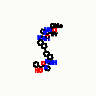 COC(=O)N[C@H](C(=O)N1CCC[C@H]1c1nc2ccc3cc(-c4ccc5c(ccc6[nH]c([C@@H]7CCCN7C(=O)[C@H](O)c7ccccc7)nc65)c4)ccc3c2[nH]1)C(C)C